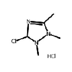 CC1=NC(Cl)N(C)N1C.Cl